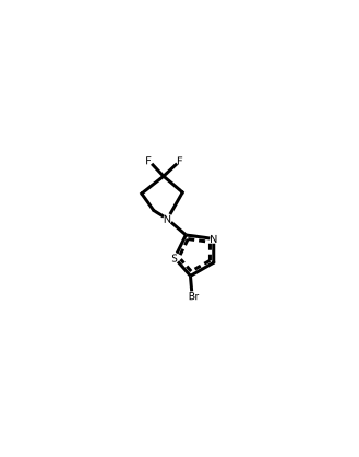 FC1(F)CCN(c2ncc(Br)s2)C1